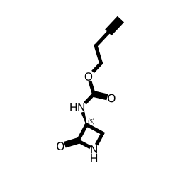 C#CCCOC(=O)N[C@H]1CNC1=O